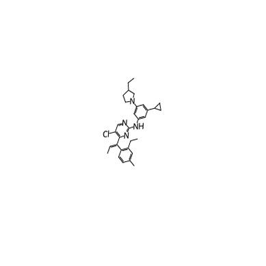 C/C=C(\c1ccc(C)cc1CC)c1nc(Nc2cc(C3CC3)cc(N3CCC(CC)C3)c2)ncc1Cl